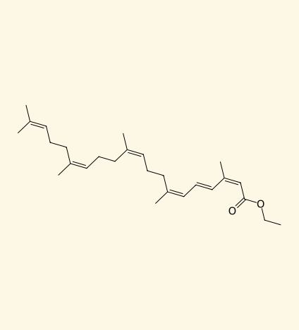 CCOC(=O)C=C(C)C=CC=C(C)CCC=C(C)CCC=C(C)CCC=C(C)C